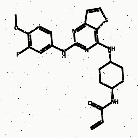 C=CC(=O)N[C@H]1CC[C@@H](Nc2nc(Nc3ccc(OC)c(F)c3)nc3ccsc23)CC1